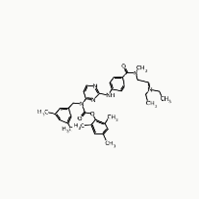 CCN(CC)CCN(C)C(=O)c1ccc(Nc2nccc(N(Cc3cc(C)cc(C)c3)C(=O)Oc3c(C)cc(C)cc3C)n2)cc1